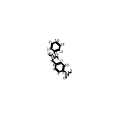 CN(C)c1ccc(C[N+](C)(C)c2ccccc2)cc1